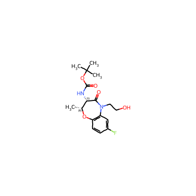 C[C@H]1Oc2ccc(F)cc2N(CCO)C(=O)[C@H]1NC(=O)OC(C)(C)C